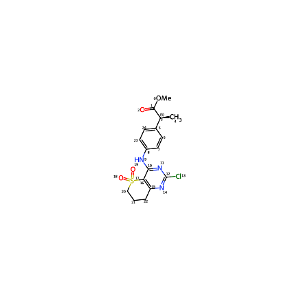 COC(=O)[C@@H](C)c1ccc(Nc2nc(Cl)nc3c2S(=O)(=O)CCC3)cc1